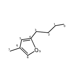 CCCCc1cc(C)co1